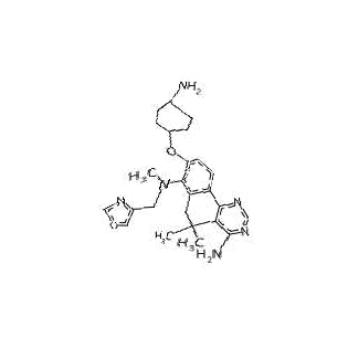 CN(Cc1cocn1)c1c(OC2CCC(N)CC2)ccc2c1CC(C)(C)c1c(N)ncnc1-2